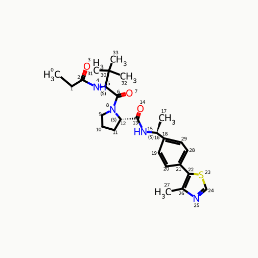 CCC(=O)N[C@H](C(=O)N1CCC[C@H]1C(=O)N[C@@H](C)c1ccc(-c2scnc2C)cc1)C(C)(C)C